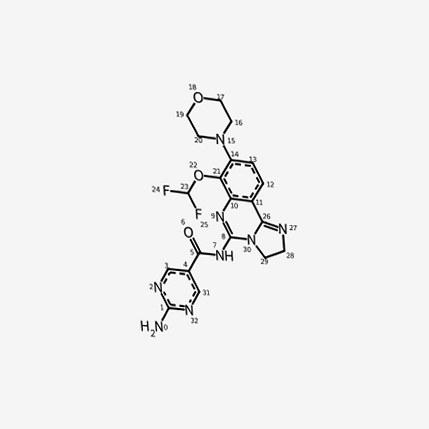 Nc1ncc(C(=O)NC2=Nc3c(ccc(N4CCOCC4)c3OC(F)F)C3=NCCN23)cn1